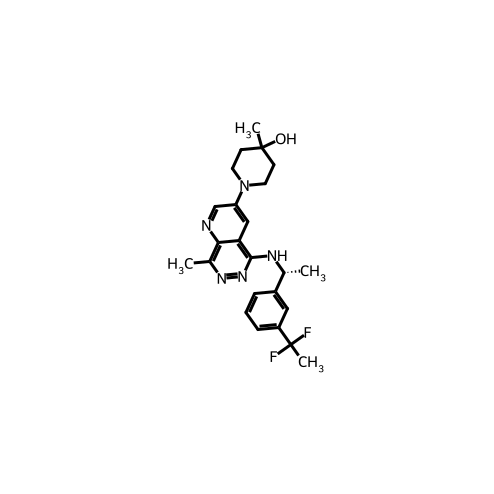 Cc1nnc(N[C@H](C)c2cccc(C(C)(F)F)c2)c2cc(N3CCC(C)(O)CC3)cnc12